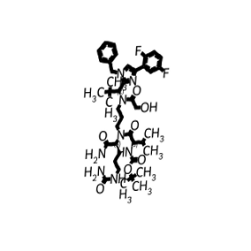 CC(C)[C@H](NC(=O)OC(C)(C)C)C(=O)N(CCCN(C(=O)CO)[C@@H](c1nc(-c2cc(F)ccc2F)cn1Cc1ccccc1)C(C)(C)C)[C@@H](CCCNC(N)=O)C(N)=O